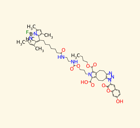 CCCCOC(=O)c1c2c(c(C(=O)O)n1CCCOC(=O)NCCNC(=O)CCCCCC\C1=C(C)/C(C)=C\C(C)=N\B(F)n3c(C)cc(C)c31)CCc1c(nnn1-c1cc3ccc(O)cc3oc1=O)CC2